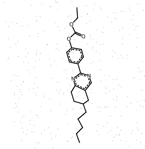 CCCCCC1CCc2nc(-c3ccc(OC(=O)OCC)cc3)ncc2C1